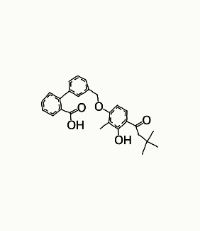 Cc1c(OCc2cccc(-c3ccccc3C(=O)O)c2)ccc(C(=O)CC(C)(C)C)c1O